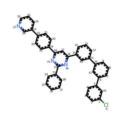 Clc1cccc(-c2cccc(-c3cccc(-c4cc(-c5ccc(-c6cccnc6)cc5)nc(-c5ccccc5)n4)c3)c2)c1